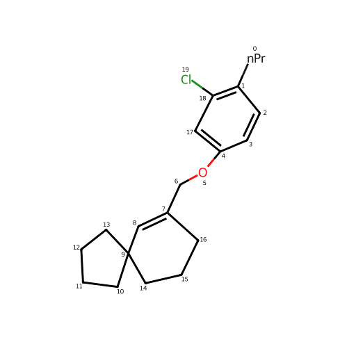 CCCc1ccc(OCC2=CC3(CCCC3)CCC2)cc1Cl